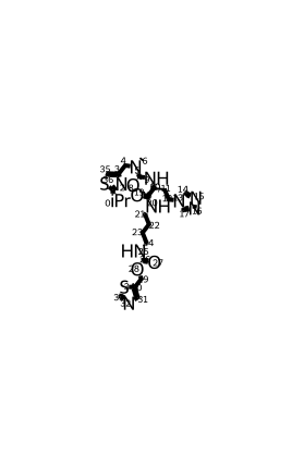 CC(C)c1nc(CN(C)C(=O)N[C@@H](CCn2cnnc2)C(=O)NCCCCNC(=O)OCc2cncs2)cs1